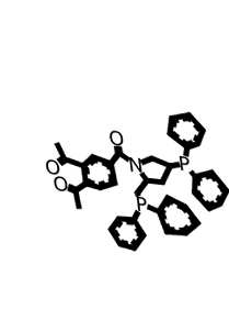 CC(=O)c1ccc(C(=O)N2CC(P(c3ccccc3)c3ccccc3)CC2CP(c2ccccc2)c2ccccc2)cc1C(C)=O